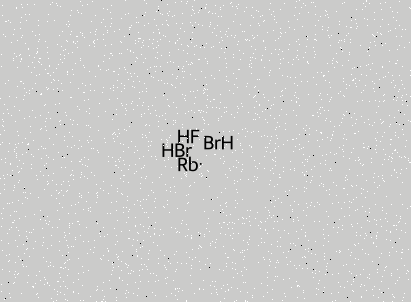 Br.Br.F.[Rb]